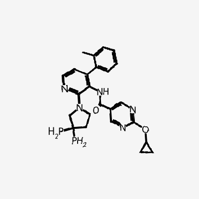 Cc1ccccc1-c1ccnc(N2CCC(P)(P)C2)c1NC(=O)c1cnc(OC2CC2)nc1